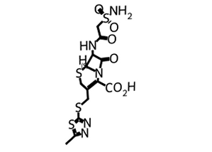 Cc1nnc(SCC2=C(C(=O)O)N3C(=O)C(NC(=O)CS(N)(=O)=O)[C@@H]3SC2)s1